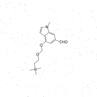 Cn1ccc2c(OCOCC[Si](C)(C)C)cc(C=O)cc21